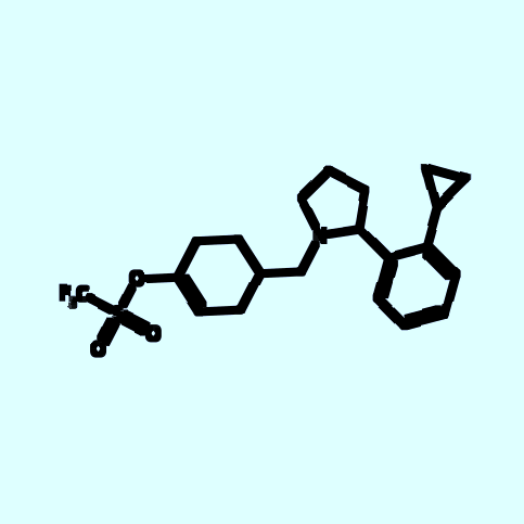 O=S(=O)(OC1=CCC(CN2CCCC2c2ccccc2C2CC2)CC1)C(F)(F)F